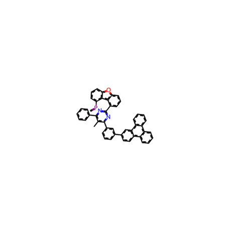 C=Pc1cccc2oc3cccc(-c4nc(-c5ccccc5)c(C)c(-c5cccc(-c6ccc7c8ccccc8c8ccccc8c7c6)c5)n4)c3c12